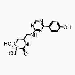 CC(C)(C)OC(=O)NC(CNc1ncnc(-c2ccc(O)cc2)n1)CC(=O)O